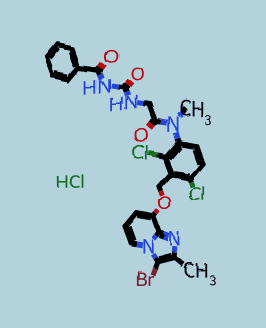 Cc1nc2c(OCc3c(Cl)ccc(N(C)C(=O)CNC(=O)NC(=O)c4ccccc4)c3Cl)cccn2c1Br.Cl